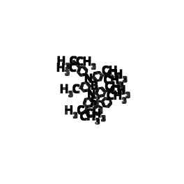 Cc1cc2c3c(c1)N1c4ccc(C(C)(C)C)cc4[Si](c4ccccc4)(c4ccccc4)c4cc(C(C)(C)C)cc(c41)B3c1cc(C(C)(C)C)ccc1N2c1ccc(C(C)(C)C)cc1